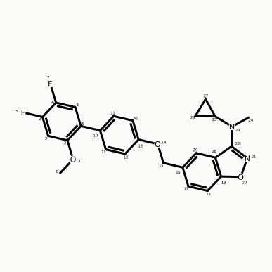 COc1cc(F)c(F)cc1-c1ccc(OCc2ccc3onc(N(C)C4CC4)c3c2)cc1